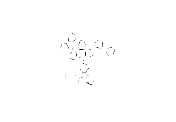 CC1(C)C2=CCC(N(c3ccc(-c4cccc5c4sc4ccccc45)cc3)c3cccc4c3-c3ccccc3C4(C3=CC=CCC3)c3ccccc3)=CC=C2C2=C1C=CCC2